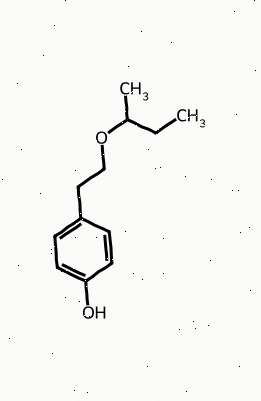 CCC(C)OCCc1ccc(O)cc1